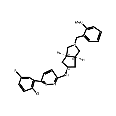 COc1ccccc1CN1C[C@H]2C[C@@H](Nc3ccc(-c4cc(F)ccc4Cl)nn3)C[C@H]2C1